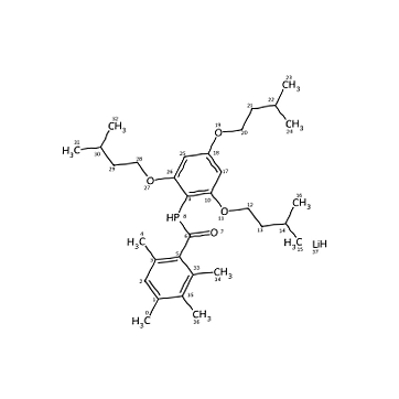 Cc1cc(C)c(C(=O)Pc2c(OCCC(C)C)cc(OCCC(C)C)cc2OCCC(C)C)c(C)c1C.[LiH]